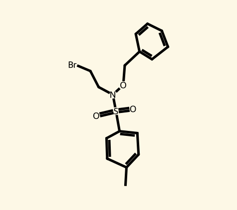 Cc1ccc(S(=O)(=O)N(CCBr)OCc2ccccc2)cc1